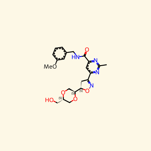 COc1cccc(CNC(=O)c2cc(C3=NO[C@H]([C@@H]4CO[C@@H](CO)CO4)C3)nc(C)n2)c1